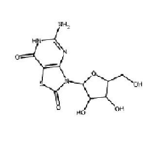 Nc1nc2c(sc(=O)n2C2OC(CO)C(O)C2O)c(=O)[nH]1